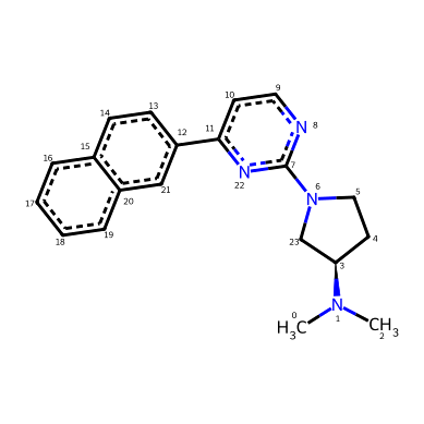 CN(C)[C@@H]1CCN(c2nccc(-c3ccc4ccccc4c3)n2)C1